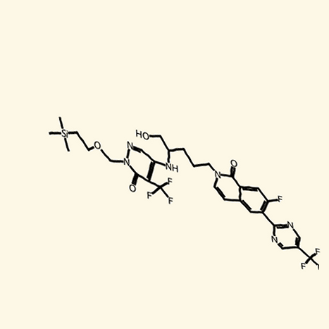 C[Si](C)(C)CCOCn1ncc(NC(CO)CCCn2ccc3cc(-c4ncc(C(F)(F)F)cn4)c(F)cc3c2=O)c(C(F)(F)F)c1=O